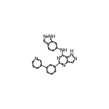 c1cncc(-c2cccc(-c3nc(Nc4ccc5cn[nH]c5c4)c4[nH]ncc4n3)c2)c1